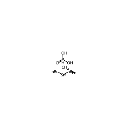 C.CCC[CH2][Sn][CH2]CCC.O=[PH](O)O.[Fe]